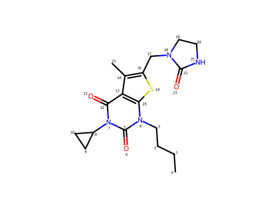 CCCCn1c(=O)n(C2CC2)c(=O)c2c(C)c(CN3CCNC3=O)sc21